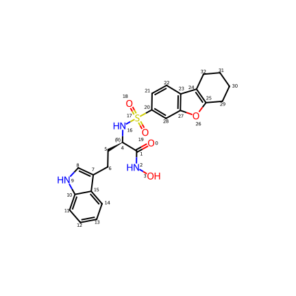 O=C(NO)[C@@H](CCc1c[nH]c2ccccc12)NS(=O)(=O)c1ccc2c3c(oc2c1)CCCC3